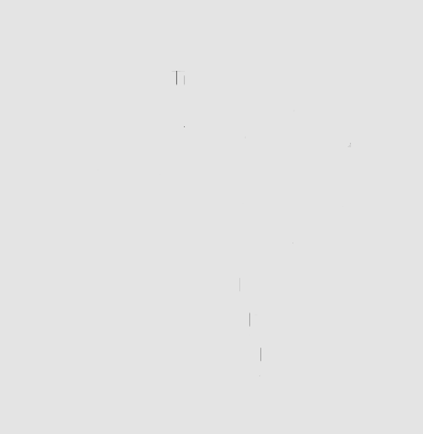 [I-].[I-].[I-].[Ti+3][CH]1c2ccccc2-c2ccccc21